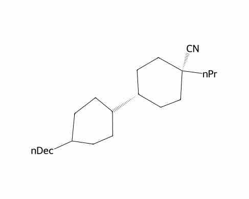 CCCCCCCCCCC1CCC([C@H]2CC[C@](C#N)(CCC)CC2)CC1